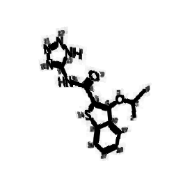 CC(C)Oc1c(C(=O)Nc2nnn[nH]2)sc2ccccc12